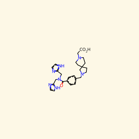 O=C(O)CN1CCC2(CC1)CCN(Cc1ccc(C(=O)N(Cc3ncc[nH]3)Cc3ncc[nH]3)cc1)C2